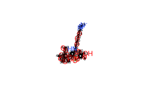 COc1cc(OS(=O)(=O)Oc2cc(C(=O)NCCOCCOCCOCCN=[N+]=[N-])ccc2OC2O[C@H](COC(C)=O)[C@H](OC(C)=O)[C@H](OC(C)=O)[C@H]2OC(C)=O)cc(OC)c1CO